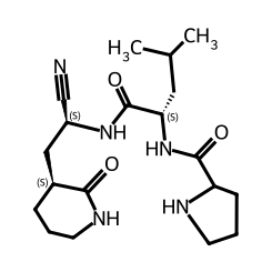 CC(C)C[C@H](NC(=O)C1CCCN1)C(=O)N[C@H](C#N)C[C@@H]1CCCNC1=O